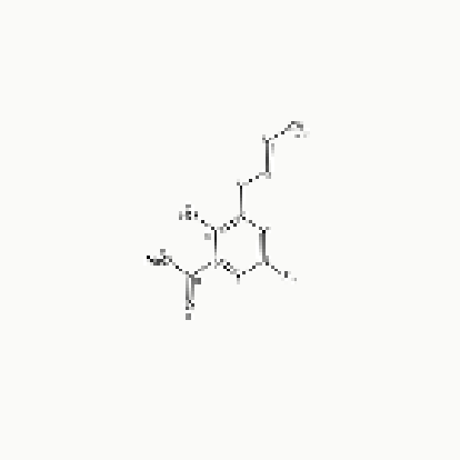 CC=CCc1cc(F)cc(C(=O)OC)c1O